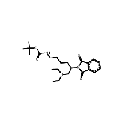 CCN(CC)CC(CCCCNC(=O)OC(C)(C)C)N1C(=O)c2ccccc2C1=O